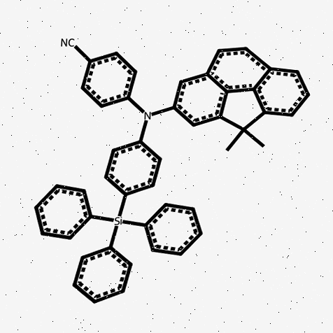 CC1(C)c2cccc3ccc4cc(N(c5ccc(C#N)cc5)c5ccc([Si](c6ccccc6)(c6ccccc6)c6ccccc6)cc5)cc1c4c23